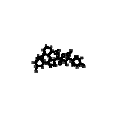 COc1cccc(OC)c1-n1c(NS(=O)(=O)C(C)[C@@H](OC)c2ncc(C)cn2)nnc1-c1cncc(C)c1